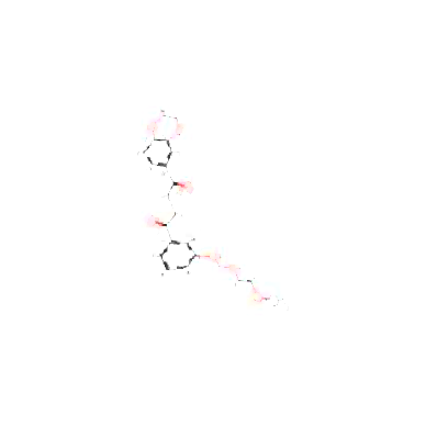 COCCOCOc1cccc(C(=O)CCC(=O)c2ccc3c(c2)OCCO3)c1